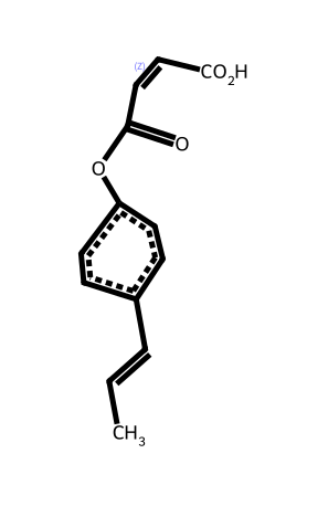 CC=Cc1ccc(OC(=O)/C=C\C(=O)O)cc1